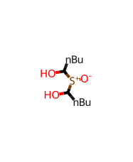 CCCCC(O)[S+]([O-])C(O)CCCC